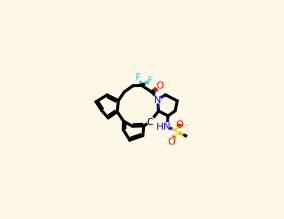 CS(=O)(=O)NC1CCCN2C(=O)C(F)(F)CCc3ccccc3-c3cccc(c3)CC12